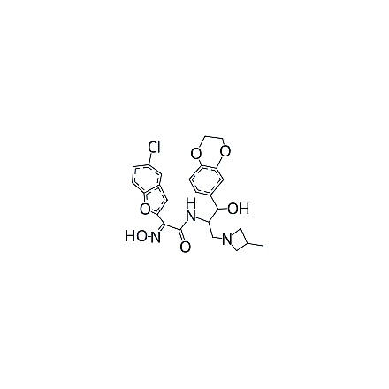 CC1CN(CC(NC(=O)/C(=N/O)c2cc3cc(Cl)ccc3o2)C(O)c2ccc3c(c2)OCCO3)C1